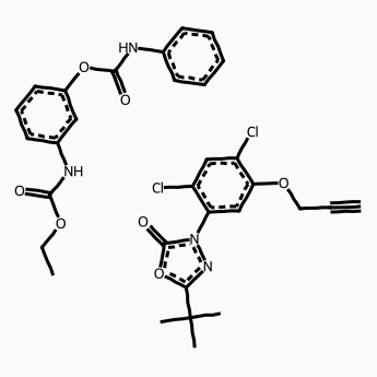 C#CCOc1cc(-n2nc(C(C)(C)C)oc2=O)c(Cl)cc1Cl.CCOC(=O)Nc1cccc(OC(=O)Nc2ccccc2)c1